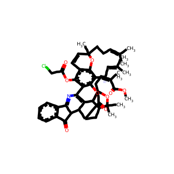 COC(=O)/C(C)=C\CC12OC(C)(C)C3CC(C1=O)C1C4=C(N=C5c6ccccc6C(=O)C51)c1c(OC(=O)CCl)c5c(c(CC=C(C)C)c1OC432)OC(C)(CCC=C(C)C)C=C5